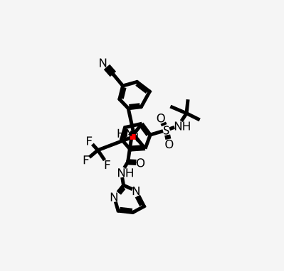 CC(C)(C)NS(=O)(=O)c1c2cccc1C21C(C(=O)Nc2ncccn2)=C(C(F)(F)F)NN1c1cccc(C#N)c1